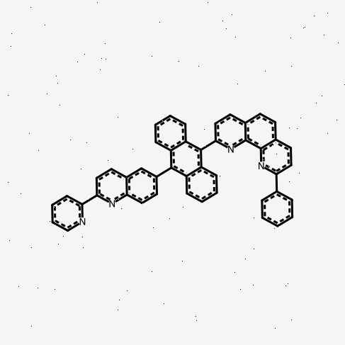 c1ccc(-c2ccc3ccc4ccc(-c5c6ccccc6c(-c6ccc7nc(-c8ccccn8)ccc7c6)c6ccccc56)nc4c3n2)cc1